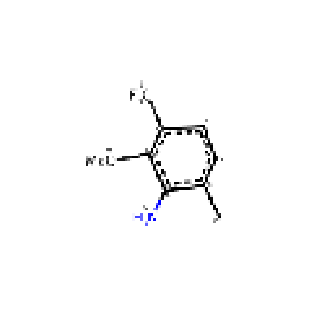 COc1c(C(F)(F)F)ccc(C)c1N